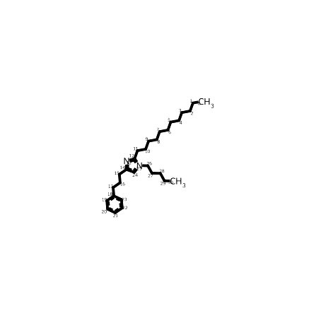 CCCCCCCCCCCCc1nc(CCCc2ccccc2)cn1CCCCC